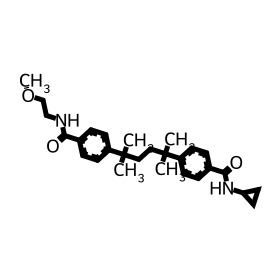 COCCNC(=O)c1ccc(C(C)(C)CCC(C)(C)c2ccc(C(=O)NC3CC3)cc2)cc1